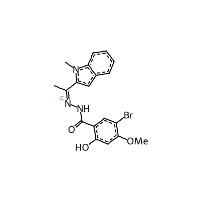 COc1cc(O)c(C(=O)N/N=C(/C)c2cc3ccccc3n2C)cc1Br